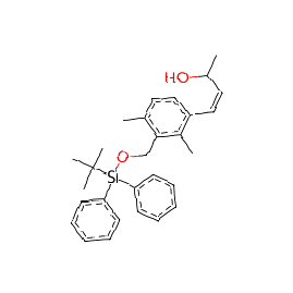 Cc1ccc(/C=C\C(C)O)c(C)c1CO[Si](c1ccccc1)(c1ccccc1)C(C)(C)C